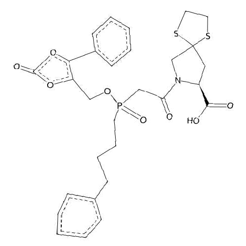 O=C(O)[C@@H]1CC2(CN1C(=O)CP(=O)(CCCCc1ccccc1)OCc1oc(=O)oc1-c1ccccc1)SCCS2